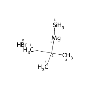 Br.C[C](C)(C)[Mg][SiH3]